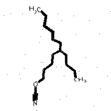 CCCCCCC(CCCC)CCCCOC#N